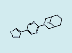 CN1C2CCCC1CN(c1ncc(-c3ccoc3)cn1)C2